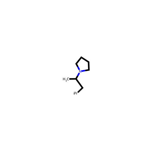 CC(C)CC(C)N1CCCC1